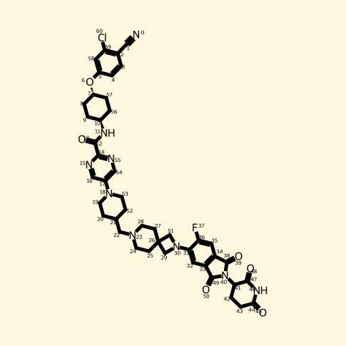 N#Cc1ccc(O[C@H]2CC[C@H](NC(=O)c3ncc(N4CCC(CN5CCC6(CC5)CN(c5cc7c(cc5F)C(=O)N(C5CCC(=O)NC5=O)C7=O)C6)CC4)cn3)CC2)cc1Cl